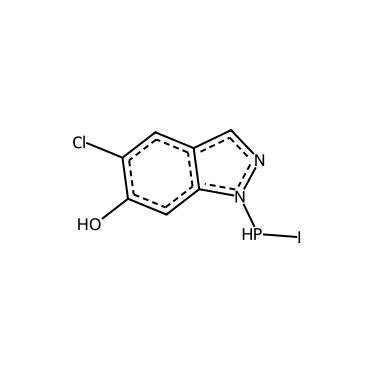 Oc1cc2c(cnn2PI)cc1Cl